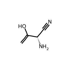 C=C(O)[C@@H](N)C#N